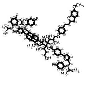 COc1ccc2c(c1)OC(CCc1ccc(OCC(O)C(O)C(NCc3ccc(CCCN(c4ccc(F)cc4)C(C)C)cc3)(NCc3ccc(-c4ccc(CN(c5ccc(F)cc5)C(C)C)s4)cc3)C(O)(C(O)CCO)C(O)CN(C)Cc3ccc(-c4ccc(CN(c5ccc(F)cc5)C(C)C)s4)cc3)cc1)C2